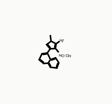 CC1=[C]([Hf])C(C)C=C1c1cccc2ccccc12.Cl.Cl